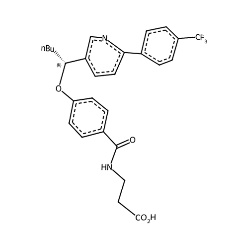 CCCC[C@@H](Oc1ccc(C(=O)NCCC(=O)O)cc1)c1ccc(-c2ccc(C(F)(F)F)cc2)nc1